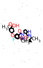 COc1cc(F)c(OC2CCC(C)(C(=O)O)CC2)cc1C(=O)NC1CCCC1C(=O)NC(C)C1(C)CC1